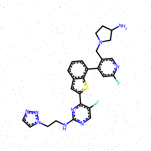 NC1CCN(Cc2cnc(F)cc2-c2cccc3cc(-c4nc(NCCn5ccnn5)ncc4F)sc23)C1